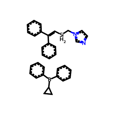 C([SiH2]Cn1ccnc1)=C(c1ccccc1)c1ccccc1.c1ccc(B(c2ccccc2)C2CC2)cc1